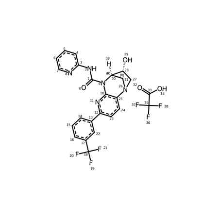 O=C(Nc1ccccn1)N1c2nc(-c3cccc(C(F)(F)F)c3)ccc2N2C[C@@H](O)[C@H]1C2.O=C(O)C(F)(F)F